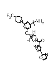 Cn1nc(-c2ncco2)cc1C(=O)N1C[C@@H]2C(Oc3cc(C(C)(C)N)cc(N4CCC(C(F)(F)F)CC4)n3)[C@@H]2C1